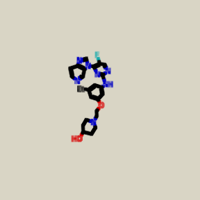 CCc1cc(Nc2ncc(F)c(-n3cnc4ccncc43)n2)cc(OCCN2CCC(O)CC2)c1